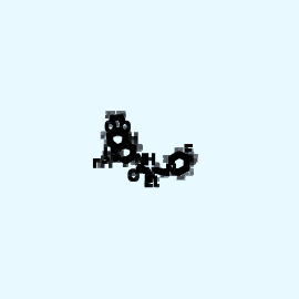 CCCN1C[C@@H](NC(=O)N(CC)CCN2CCC(F)(F)CC2)C[C@@H]2CC3(CC[C@H]21)OCCO3